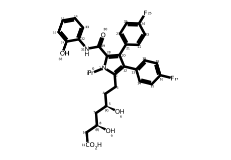 CC(C)n1c(CC[C@@H](O)C[C@@H](O)CC(=O)O)c(-c2ccc(F)cc2)c(-c2ccc(F)cc2)c1C(=O)Nc1ccccc1O